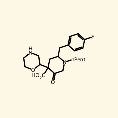 CCCCCN1CC(=O)C(C(=O)O)(C2CNCCO2)CC1Cc1ccc(F)cc1